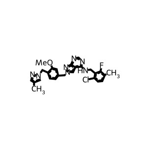 COc1cc(Cn2cc3c(NCc4c(Cl)ccc(C)c4F)ncnc3n2)ccc1Cn1cc(C)cn1